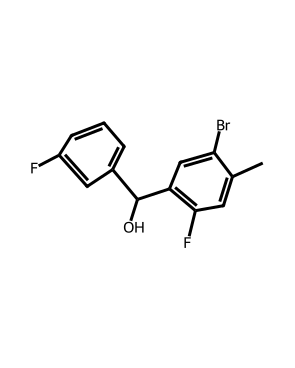 Cc1cc(F)c(C(O)c2cccc(F)c2)cc1Br